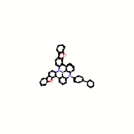 c1ccc(-c2ccc(N3c4cccc5c4B4c6c(cccc63)-c3c(ccc6c3oc3ccccc36)N4c3ccc4c(oc6ccccc64)c3-5)cc2)cc1